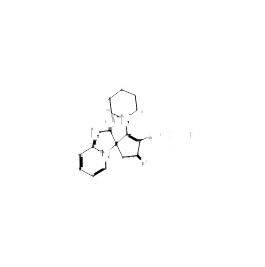 CCOC(=O)C1=C(N2CCCCC2)C2(CC1=O)C(=O)N=C1C=CC=CN12